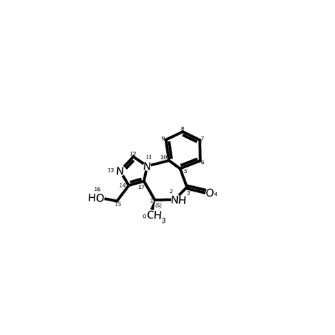 C[C@@H]1NC(=O)c2ccccc2-n2cnc(CO)c21